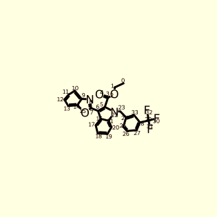 CCOC(=O)c1c(-c2nc3ccccc3o2)c2ccccc2n1Cc1cccc(C(F)(F)F)c1